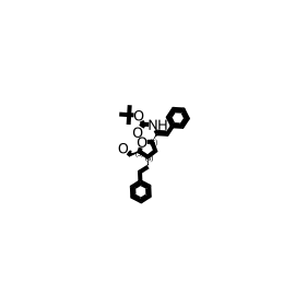 CC(C)(C)OC(=O)NC(=Cc1ccccc1)[C@@H]1C[C@H](CCc2ccccc2)[C@@H](C=O)O1